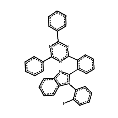 Fc1ccccc1-n1c(-c2ccccc2-c2nc(-c3ccccc3)nc(-c3ccccc3)n2)nc2ccccc21